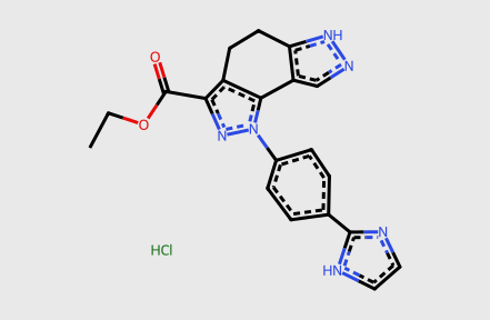 CCOC(=O)c1nn(-c2ccc(-c3ncc[nH]3)cc2)c2c1CCc1[nH]ncc1-2.Cl